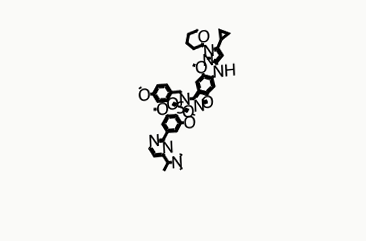 COc1ccc(CN(c2noc3cc(Nc4cc(C5CC5)n(C5CCCCO5)n4)c(OC)cc23)S(=O)(=O)c2c(OC)cc(-c3nccc(C(C)N(C)C)n3)cc2OC)cc1